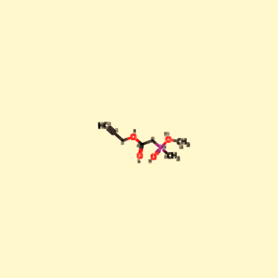 C#CCOC(=O)CP(C)(=O)OC